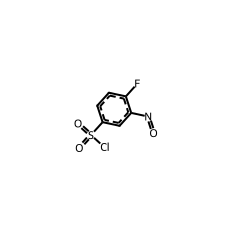 O=Nc1cc(S(=O)(=O)Cl)ccc1F